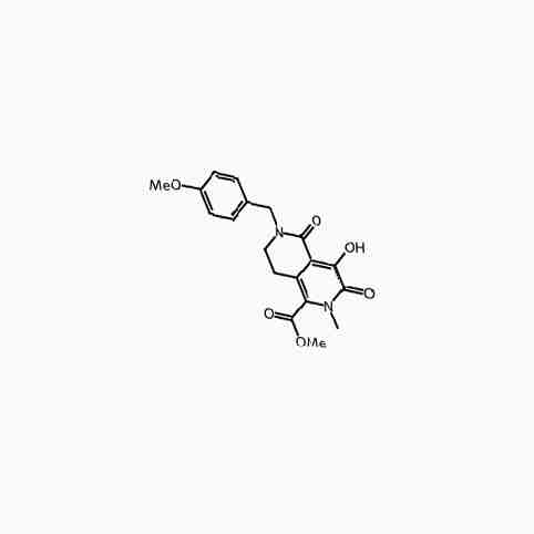 COC(=O)c1c2c(c(O)c(=O)n1C)C(=O)N(Cc1ccc(OC)cc1)CC2